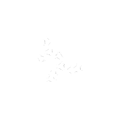 c1ccc(-c2cc(-c3ccccn3)nc(-c3cc(-c4cc(-c5ccc6ccccc6c5)nc(-c5ccc6ccccc6c5)n4)ccn3)c2)cc1